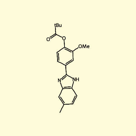 COc1cc(-c2nc3cc(C)ccc3[nH]2)ccc1OC(=O)C(C)(C)C